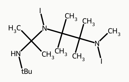 CN(I)C(C)(C)C(C)(C)N(I)C(C)(C)NC(C)(C)C